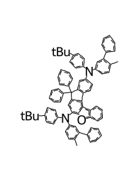 Cc1ccc(N(c2ccc(C(C)(C)C)cc2)c2ccc3c(c2)C(c2ccccc2)(c2ccccc2)c2cc(N(c4ccc(C(C)(C)C)cc4)c4ccc(C)c(-c5ccccc5)c4)c4oc5ccccc5c4c2-3)cc1-c1ccccc1